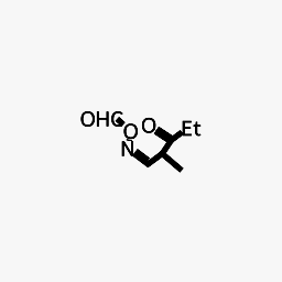 CCC(=O)C(C)/C=N\OC=O